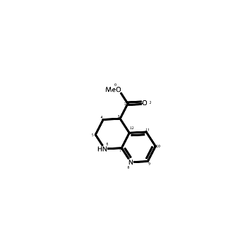 COC(=O)C1CCNc2ncccc21